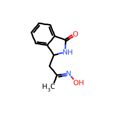 CC(CC1NC(=O)c2ccccc21)=NO